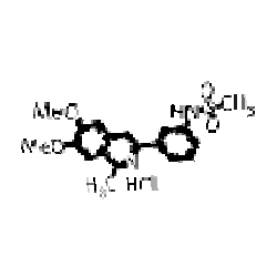 COc1cc2cc(-c3cccc(NS(C)(=O)=O)c3)nc(C)c2cc1OC.Cl